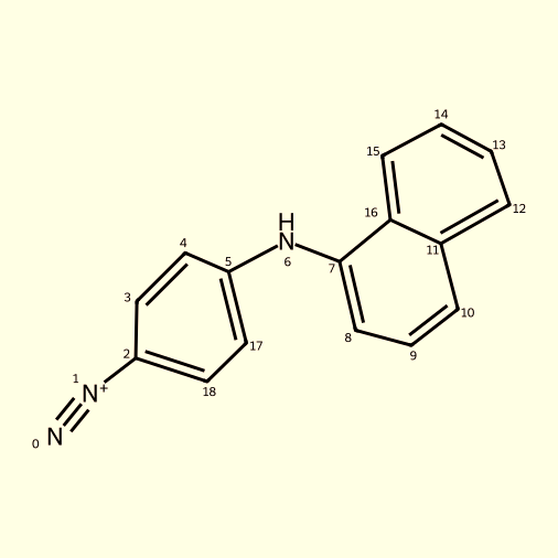 N#[N+]c1ccc(Nc2cccc3ccccc23)cc1